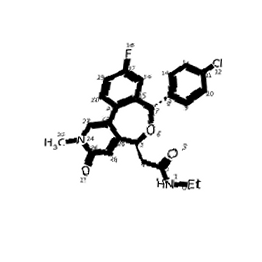 CCNC(=O)C[C@@H]1O[C@@H](c2ccc(Cl)cc2)c2cc(F)ccc2-c2cn(C)c(=O)cc21